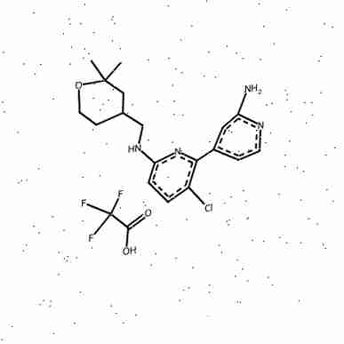 CC1(C)CC(CNc2ccc(Cl)c(-c3ccnc(N)c3)n2)CCO1.O=C(O)C(F)(F)F